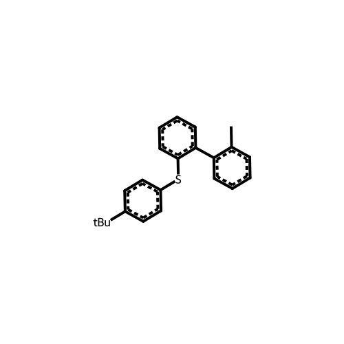 Cc1ccccc1-c1ccccc1Sc1ccc(C(C)(C)C)cc1